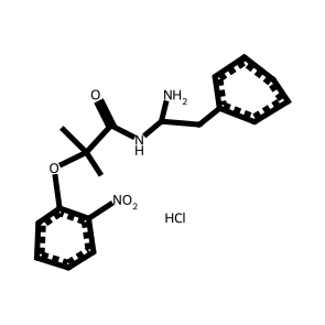 CC(C)(Oc1ccccc1[N+](=O)[O-])C(=O)NC(N)Cc1ccccc1.Cl